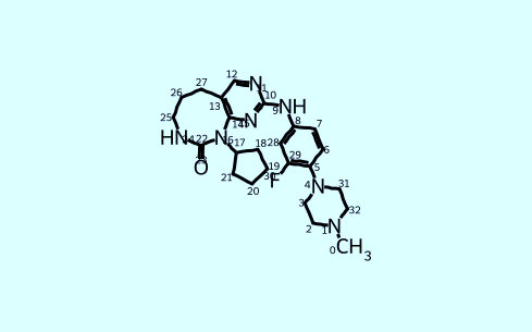 CN1CCN(c2ccc(Nc3ncc4c(n3)N(C3CCCC3)C(=O)NCCC4)cc2F)CC1